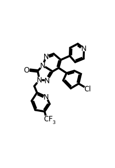 O=c1n(Cc2ccc(C(F)(F)F)cn2)nc2c(-c3ccc(Cl)cc3)c(-c3ccncc3)cnn12